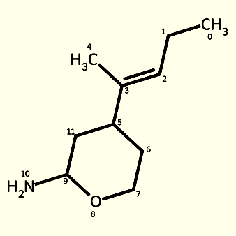 CC/C=C(\C)C1CCOC(N)C1